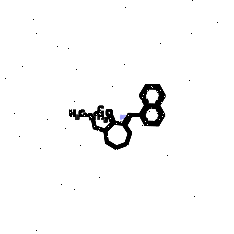 CN(C)CC1CCCC/C(=C\c2cccc3ccccc23)C1=O